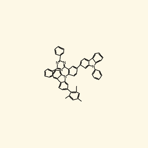 Cc1cc(C)c(-c2ccc3c4ccccc4n(-c4ccc(-c5ccc6c7ccccc7n(-c7ccccc7)c6c5)cc4-c4nc(-c5ccccc5)nc(-c5ccccc5)n4)c3c2)c(C)c1